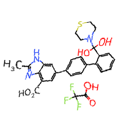 Cc1nc2c(C(=O)O)cc(-c3ccc(-c4ccccc4C(O)(O)N4CCSCC4)cc3)cc2[nH]1.O=C(O)C(F)(F)F